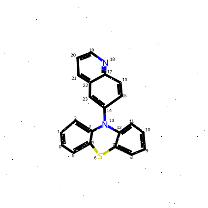 c1ccc2c(c1)Sc1ccccc1N2c1ccc2ncccc2c1